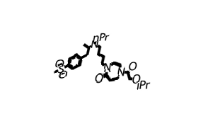 CCCN(CCCCN1CCN(C(=O)COC(C)C)CCC1=O)C(C)Cc1ccc(S(C)(=O)=O)cc1